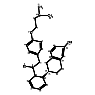 CCN(Cc1ccc(OCCN(C)C)cc1)C1C=CC=CC1[C@@H]1CCc2cc(O)ccc2C1